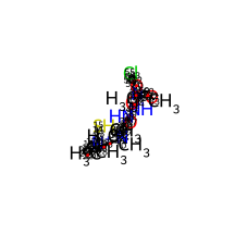 CCN1/C(=C/C=C/C=C/C2=[N+](CCCCS)c3ccc4ccccc4c3C2(C)C)C(C)(C)c2cc(CC(=O)NCCNC(=O)Cc3c(C)n(COc4ccc(Cl)cc4)c4ccc(OC)cc34)ccc21